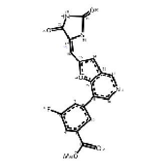 COC(=O)c1cc(F)cc(-c2cncc3cc(/C=C4\SC(=O)NC4=O)oc23)c1